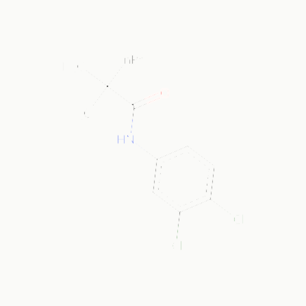 CCCC(C)(C)C(=O)Nc1ccc(Cl)c(Cl)c1